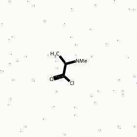 CNC(C)C(=O)Cl